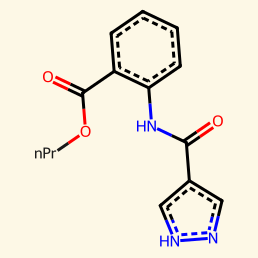 CCCOC(=O)c1ccccc1NC(=O)c1cn[nH]c1